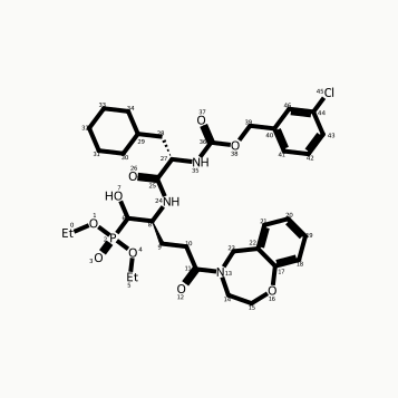 CCOP(=O)(OCC)C(O)[C@H](CCC(=O)N1CCOc2ccccc2C1)NC(=O)[C@H](CC1CCCCC1)NC(=O)OCc1cccc(Cl)c1